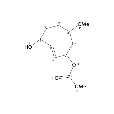 COC(=O)OC1/C=C/C(O)CCC(OC)C1